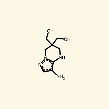 Nc1cnn2c1NCC(CO)(CO)C2